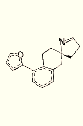 C1=N[C@@]2(CC1)CCc1c(cccc1-c1ccco1)C2